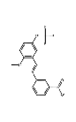 COc1ccc(OC(F)(F)F)cc1C=Nc1cccc([N+](=O)[O-])c1